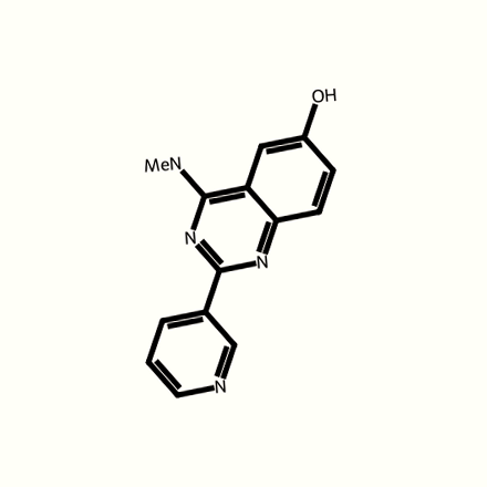 CNc1nc(-c2cccnc2)nc2ccc(O)cc12